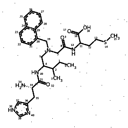 CCC(C)C(CN(CC(=O)NC(CCSC)C(=O)O)Cc1cccc2ccccc12)NC(=O)[C@@H](N)Cc1c[nH]cn1